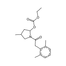 CCOC(=O)OC1CC(C)CN1C(=O)Cc1c(C)cccc1C